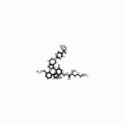 CCc1cccc(CC)c1-n1nc2c(c1-c1c(F)cc(COC(=O)[C@@H](N)CCCN)c3[nH]ccc13)CN(c1ncc(C(F)(F)F)cn1)CC2.Cl